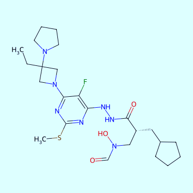 CCC1(N2CCCC2)CN(c2nc(SC)nc(NNC(=O)[C@H](CC3CCCC3)CN(O)C=O)c2F)C1